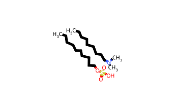 CCCCCCCCCCOS(=O)(=O)O.CCCCCCCCCN(C)C